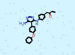 C=CC(=O)Cc1ccc(Nc2ncnc(N)c2-c2ccc(Oc3ccccc3)cc2)cc1